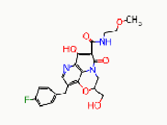 COCCNC(=O)c1c(O)c2ncc(Cc3ccc(F)cc3)c3c2n(c1=O)CC(CO)O3